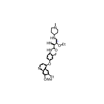 CCO/C(=C/NC1CCN(C)CC1)C(=N)C(=O)Nc1ccc(Oc2ccnc3cc(OC)c(CC)cc23)cc1F